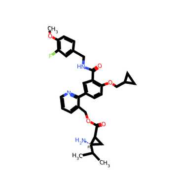 COc1ccc(CNC(=O)c2cc(-c3ncccc3COC(=O)C3C[C@@]3(N)C(C)C)ccc2OCC2CC2)cc1F